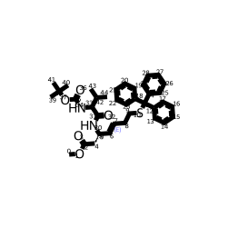 COC(=O)C[C@@H](/C=C/CCSC(c1ccccc1)(c1ccccc1)c1ccccc1)NC(=O)C(NC(=O)OC(C)(C)C)C(C)C